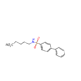 O=C(O)CCCCNS(=O)(=O)c1ccc(-c2ccccc2)cc1